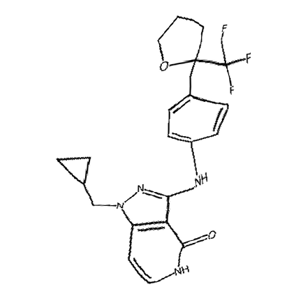 O=c1[nH]ccc2c1c(Nc1ccc(C3(C(F)(F)F)CCCO3)cc1)nn2CC1CC1